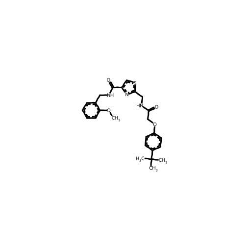 COc1ccccc1CNC(=O)c1csc(CNC(=O)COc2ccc(C(C)(C)C)cc2)n1